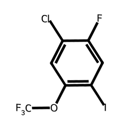 Fc1cc(I)c(OC(F)(F)F)cc1Cl